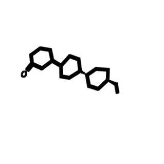 CC[C@H]1CC[C@H](C2CCC(C3CCCC(=O)C3)CC2)CC1